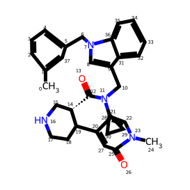 Cc1cccc(Cn2cc(CN(C(=O)[C@H]3CNCCC3c3ccn(C)c(=O)c3)C3CC3)c3ccccc32)c1